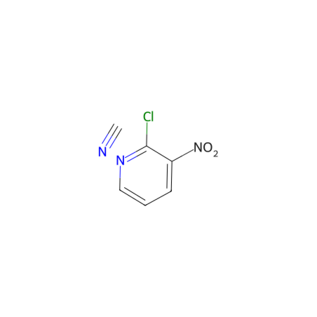 C#N.O=[N+]([O-])c1cccnc1Cl